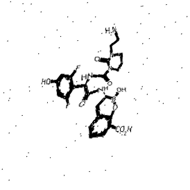 NCCN1CCCN(C(=O)N[C@@H](C(=O)N[C@H]2Cc3cccc(C(=O)O)c3OB2O)c2c(F)cc(O)cc2F)C1=O